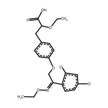 CCO/N=C(\COc1ccc(CC(OCC)C(=O)O)cc1)c1ccc(Cl)cc1Cl